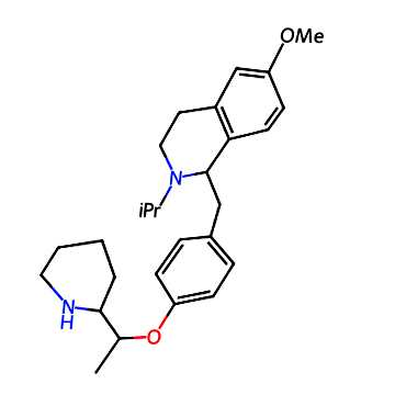 COc1ccc2c(c1)CCN(C(C)C)C2Cc1ccc(OC(C)C2CCCCN2)cc1